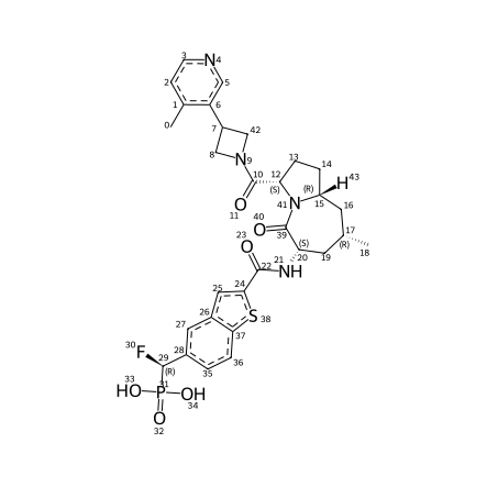 Cc1ccncc1C1CN(C(=O)[C@@H]2CC[C@@H]3C[C@H](C)C[C@H](NC(=O)c4cc5cc([C@H](F)P(=O)(O)O)ccc5s4)C(=O)N32)C1